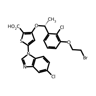 C[C@@H](Oc1cc(-n2cnc3cc(Cl)ccc32)sc1C(=O)O)c1cccc(OCCBr)c1Cl